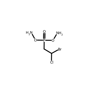 NOP(=O)(CC(Cl)Br)ON